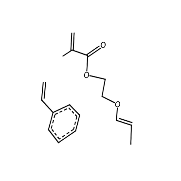 C=C(C)C(=O)OCCOC=CC.C=Cc1ccccc1